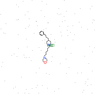 Cl.Cl.c1ccc(CCCC2CCN(CCCCCCN3CCOCC3)CC2)cc1